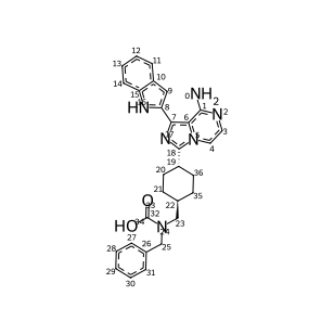 Nc1nccn2c1c(-c1cc3ccccc3[nH]1)nc2[C@H]1CC[C@H](CN(Cc2ccccc2)C(=O)O)CC1